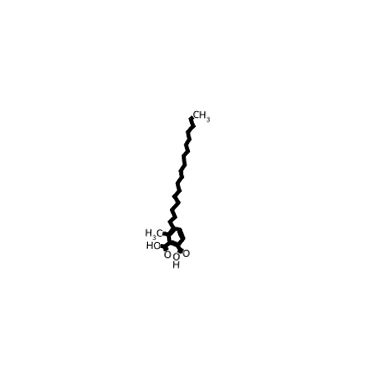 CCCCCCCCCCCCCCCCCCc1ccc(C(=O)O)c(C(=O)O)c1C